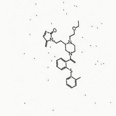 C=C(c1ccccc1Sc1ccccc1C)N1CCN(CCOCC)C(CCN2C(=C)C=CC2=O)C1